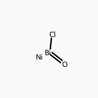 [Ni].[O]=[Bi][Cl]